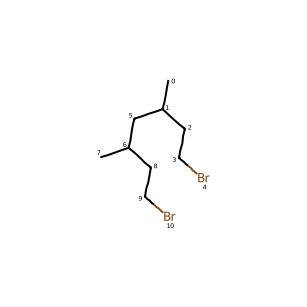 CC(CCBr)CC(C)CCBr